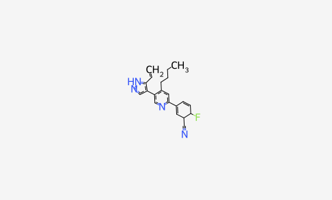 C=Cc1[nH]ncc1-c1cnc(C2=CC(C#N)C(F)C=C2)cc1CCCC